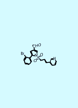 O=Cc1cc(-c2ccccc2Br)n(S(=O)(=O)CC=Cc2cccnc2)c1